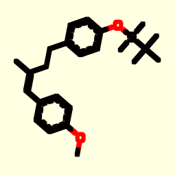 COc1ccc(C=C(C)CCc2ccc(O[Si](C)(C)C(C)(C)C)cc2)cc1